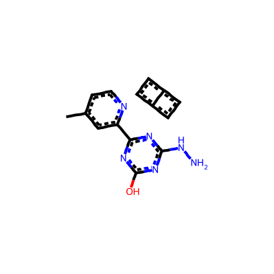 Cc1ccnc(-c2nc(O)nc(NN)n2)c1.c1cc2ccc1-2